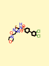 O=C(Cc1nsc(NS(=O)(=O)c2ccc(-c3ccc(Cl)c(Cl)c3)cc2)n1)N1CCOCC1